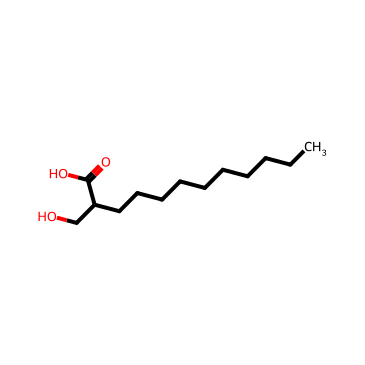 CCCCCCCCCCC(CO)C(=O)O